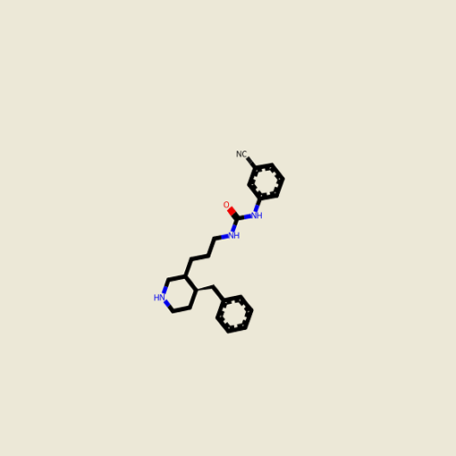 N#Cc1cccc(NC(=O)NCCCC2CNCC[C@@H]2Cc2ccccc2)c1